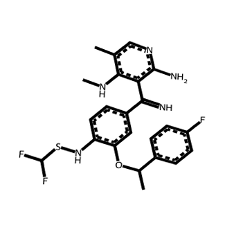 CNc1c(C)cnc(N)c1C(=N)c1ccc(NSC(F)F)c(OC(C)c2ccc(F)cc2)c1